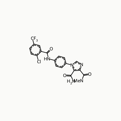 CNC(=O)c1ncn(-c2ccc(NC(=O)c3cc(C(F)(F)F)ccc3Cl)cc2)c1C(N)=O